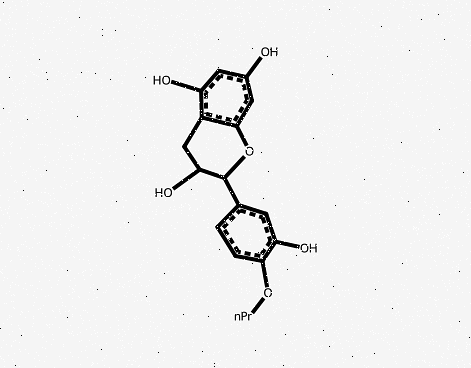 CCCOc1ccc(C2Oc3cc(O)cc(O)c3CC2O)cc1O